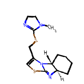 CN1CCN=C1SCC1=CSC2=N[C@@H]3CCCC[C@H]3N12